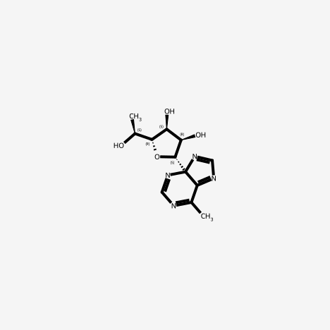 CC1=NC=NC2([C@@H]3O[C@H]([C@H](C)O)[C@@H](O)[C@H]3O)N=CN=C12